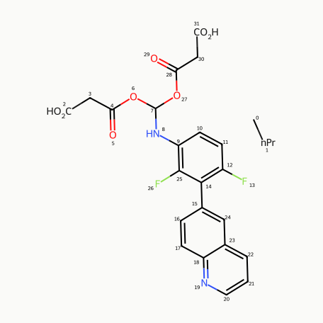 CCCC.O=C(O)CC(=O)OC(Nc1ccc(F)c(-c2ccc3ncccc3c2)c1F)OC(=O)CC(=O)O